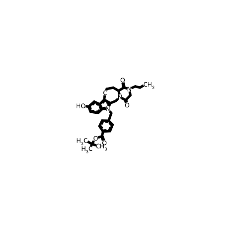 CCCN1CC(=O)N2Cc3c(c4cc(O)ccc4n3Cc3ccc(C(=O)OC(C)(C)C)cc3)CCCC2C1=O